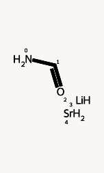 NC=O.[LiH].[SrH2]